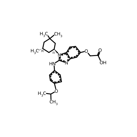 CC(C)Oc1ccc(Nc2nc3cc(OCC(=O)O)ccc3n2[C@H]2C[C@H](C)CC(C)(C)C2)cc1